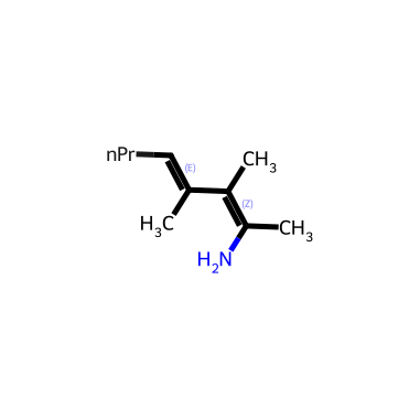 CCC/C=C(C)/C(C)=C(/C)N